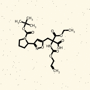 C=CCOC(=O)NC(Cc1cc(C2CCCN2C(=O)OC(C)(C)C)no1)(C(=O)O)C(=O)OCC